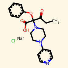 CCC(=O)C(Oc1ccccc1)(C(=O)O)N1CCN(c2ccncc2)CC1.[Cl-].[Na+]